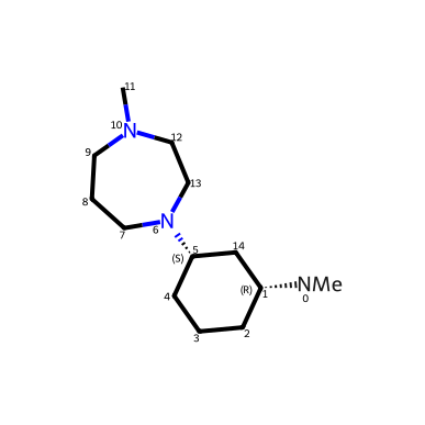 CN[C@@H]1CCC[C@H](N2CCCN(C)CC2)C1